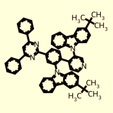 CC(C)(C)c1ccc2c(c1)c1ccccc1n2-c1cnccc1-c1ccc(-c2nc(-c3ccccc3)cc(-c3ccccc3)n2)cc1-n1c2ccccc2c2cc(C(C)(C)C)ccc21